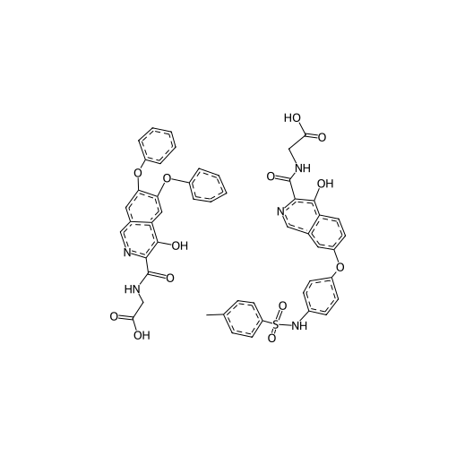 Cc1ccc(S(=O)(=O)Nc2ccc(Oc3ccc4c(O)c(C(=O)NCC(=O)O)ncc4c3)cc2)cc1.O=C(O)CNC(=O)c1ncc2cc(Oc3ccccc3)c(Oc3ccccc3)cc2c1O